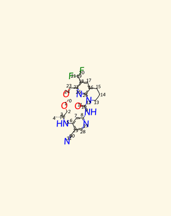 COC[C@@H](C)Nc1cc(NC(=O)N2CCCc3cc(C(F)F)c(C=O)nc32)ncc1C#N